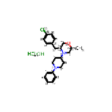 C[C@H]1CN(C2CCN(c3ccccc3)CC2)[C@@H](Cc2ccc(Cl)cc2)CO1.Cl.Cl